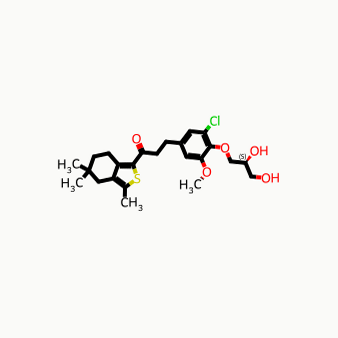 COc1cc(CCC(=O)c2sc(C)c3c2CCC(C)(C)C3)cc(Cl)c1OC[C@@H](O)CO